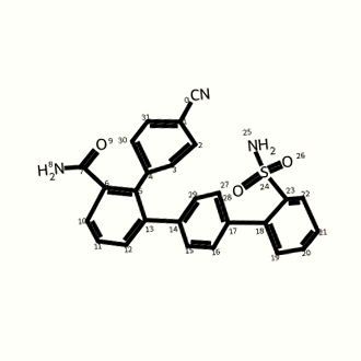 N#Cc1ccc(-c2c(C(N)=O)cccc2-c2ccc(-c3ccccc3S(N)(=O)=O)cc2)cc1